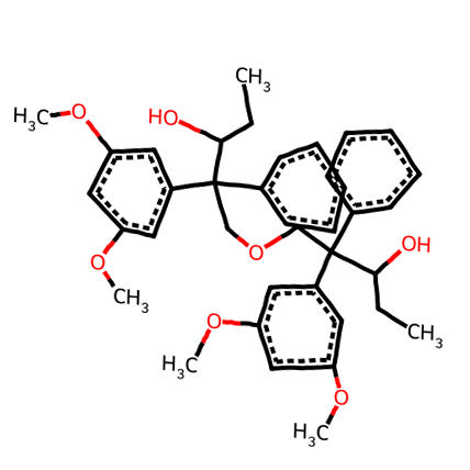 CCC(O)C(COCC(c1ccccc1)(c1cc(OC)cc(OC)c1)C(O)CC)(c1ccccc1)c1cc(OC)cc(OC)c1